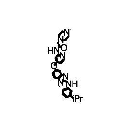 CC(C)c1cccc(Nc2nc3cc(Oc4ccnc(NC(=O)CN5CCN(C)CC5)c4)ccc3n2C)c1